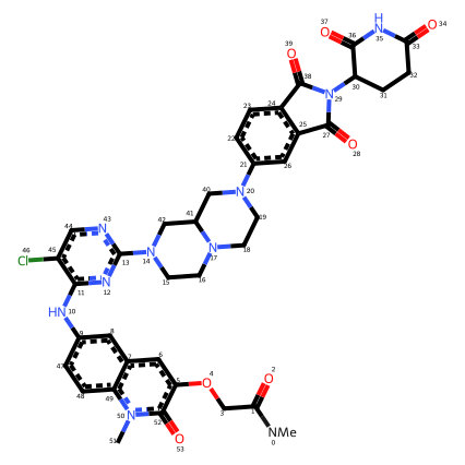 CNC(=O)COc1cc2cc(Nc3nc(N4CCN5CCN(c6ccc7c(c6)C(=O)N(C6CCC(=O)NC6=O)C7=O)CC5C4)ncc3Cl)ccc2n(C)c1=O